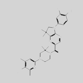 Cc1cc(N2CCN(C(=O)c3cnc4c(n3)C(C)(C)CN4c3ccc(Cl)c(Cl)c3)C(C)(C)C2)nc(C)c1C(=O)O